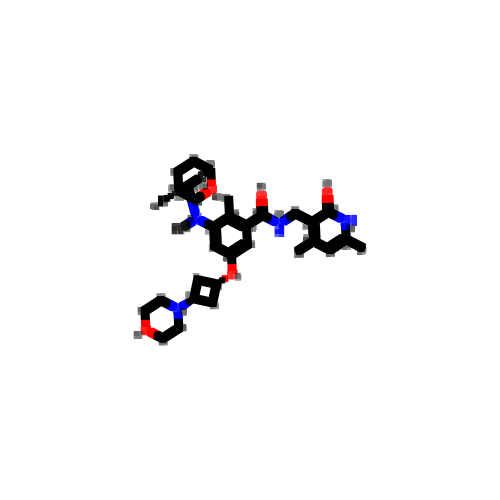 CCN(c1cc(O[C@H]2C[C@H](N3CCOCC3)C2)cc(C(=O)NCc2c(C)cc(C)[nH]c2=O)c1C)C1CC2CC[C@@H]1CO2